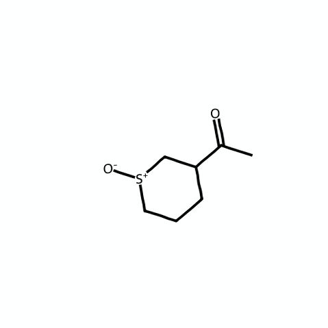 CC(=O)C1CCC[S+]([O-])C1